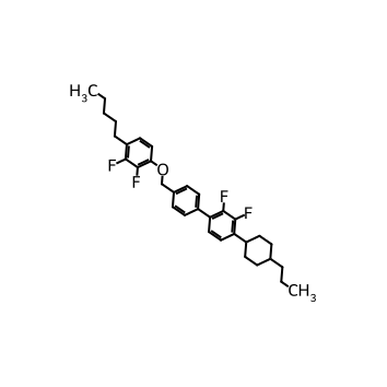 CCCCCc1ccc(OCc2ccc(-c3ccc(C4CCC(CCC)CC4)c(F)c3F)cc2)c(F)c1F